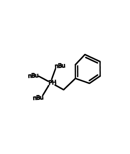 CCCC[PH](CCCC)(CCCC)Cc1ccccc1